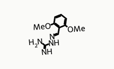 COc1cccc(OC)c1C=NNC(=N)N